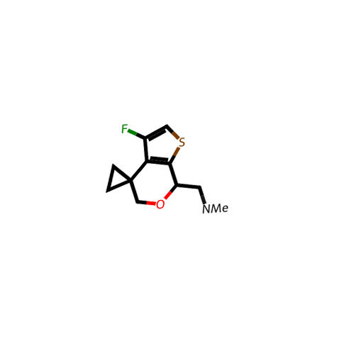 CNCC1OCC2(CC2)c2c(F)csc21